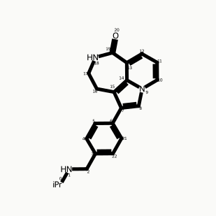 CC(C)NCc1ccc(-c2cn3cccc4c3c2CCNC4=O)cc1